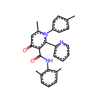 Cc1ccc(-n2c(C)cc(=O)c(C(=O)Nc3c(C)cccc3C)c2-c2ccccn2)cc1